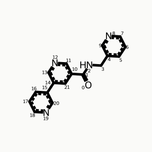 O=C(NCc1cccnc1)c1cncc(-c2cccnc2)c1